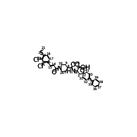 COC1(CC(NC(=O)C2CCN(C(=O)C=Cc3ccc(SC)c(Cl)c3Cl)CC2)C(=O)O)C=CC(c2ccccc2)=CC1